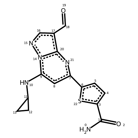 NC(=O)c1ccc(-c2cc(NC3CC3)n3ncc(C=O)c3n2)s1